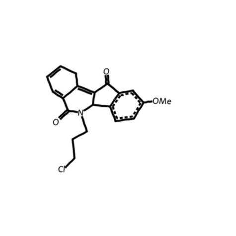 COc1ccc2c(c1)C(=O)C1=C3CC=CC=C3C(=O)N(CCCCl)C12